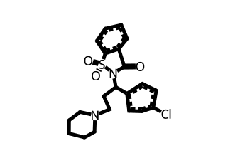 O=C1c2ccccc2S(=O)(=O)N1C(CCN1CCCCC1)c1ccc(Cl)cc1